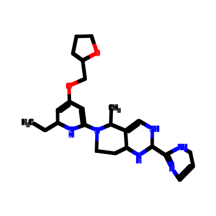 CCC1C=C(OCC2CCCO2)C=C(N2CCC3NC(C4=NC=CCN4)NC=C3C2C)N1